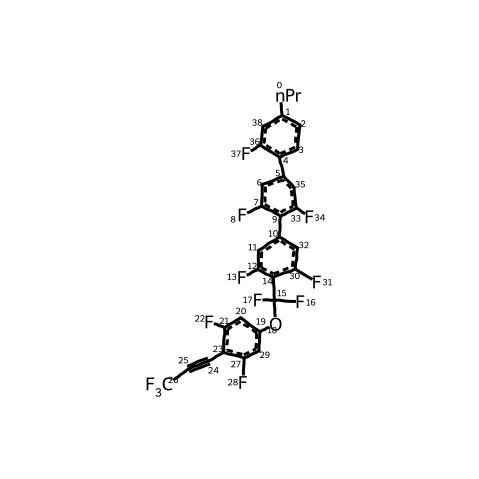 CCCc1ccc(-c2cc(F)c(-c3cc(F)c(C(F)(F)Oc4cc(F)c(C#CC(F)(F)F)c(F)c4)c(F)c3)c(F)c2)c(F)c1